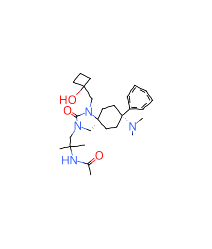 CC(=O)NC(C)(C)CN1C[C@]2(CC[C@@](c3ccccc3)(N(C)C)CC2)N(CC2(O)CCC2)C1=O